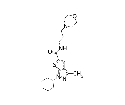 Cc1nn(C2CCCCC2)c2sc(C(=O)NCCCN3CCOCC3)cc12